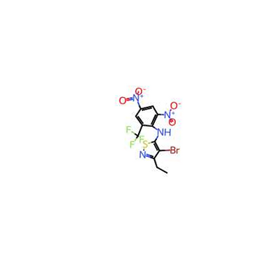 CCc1nsc(Nc2c([N+](=O)[O-])cc([N+](=O)[O-])cc2C(F)(F)F)c1Br